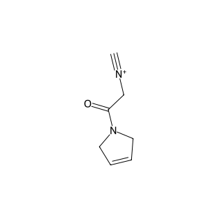 C#[N+]CC(=O)N1CC=CC1